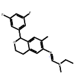 CCN(C)/C=N/c1cc2c(cc1C)C(c1cc(F)cc(F)c1)OCC2